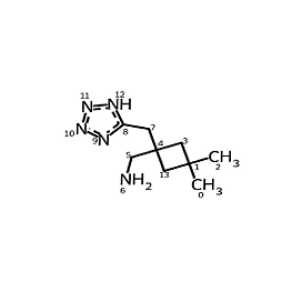 CC1(C)CC(CN)(Cc2nnn[nH]2)C1